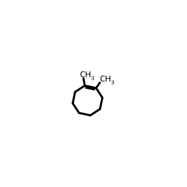 CC1=C(C)CCCCCC1